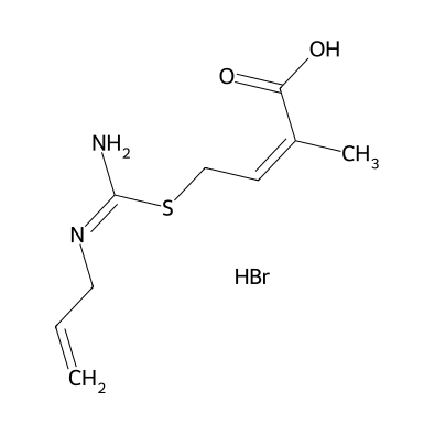 Br.C=CCN=C(N)SCC=C(C)C(=O)O